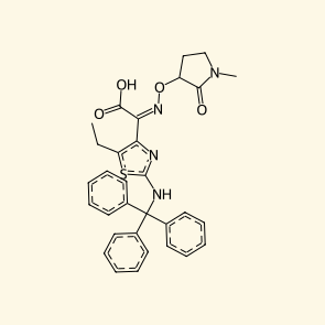 CCc1sc(NC(c2ccccc2)(c2ccccc2)c2ccccc2)nc1C(=NOC1CCN(C)C1=O)C(=O)O